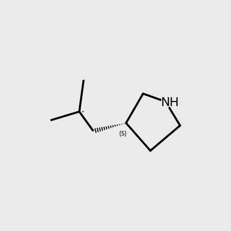 C[C](C)C[C@H]1CCNC1